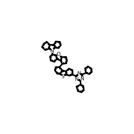 c1ccc(-c2nc(-c3ccccc3)nc(-c3ccc4c(c3)sc3cccc(-c5cccc6oc7c(-n8c9ccccc9c9ccccc98)cccc7c56)c34)n2)cc1